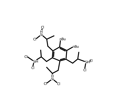 CCCCc1c(CCCC)c(CC(C)[SiH](Cl)Cl)c(CC(C)[SiH](Cl)Cl)c(CC(C)[SiH](Cl)Cl)c1CC(C)[SiH](Cl)Cl